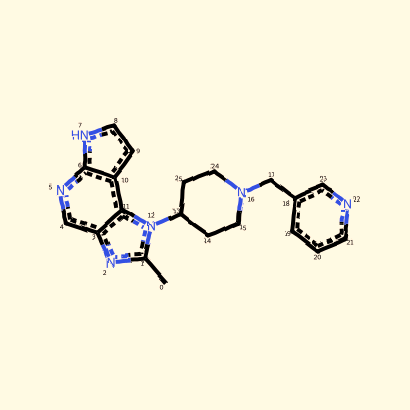 Cc1nc2cnc3[nH]ccc3c2n1C1CCN(Cc2cccnc2)CC1